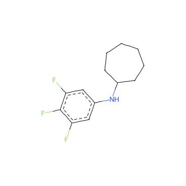 Fc1cc(NC2CCCCCC2)cc(F)c1F